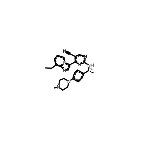 CCc1cccn2c(-c3nc(N[C@@H](C)c4ccc(N5CCN(C)CC5)cc4)ncc3C#N)cnc12